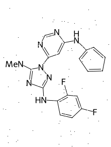 CNc1nc(Nc2ccc(F)cc2F)nn1-c1cc(Nc2ccccc2)ncn1